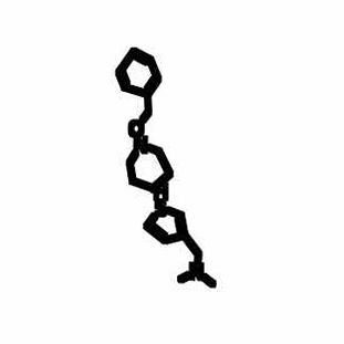 CN(C)CC1=C[SH](C2CCN(OCc3ccccc3)CC2)C=C1